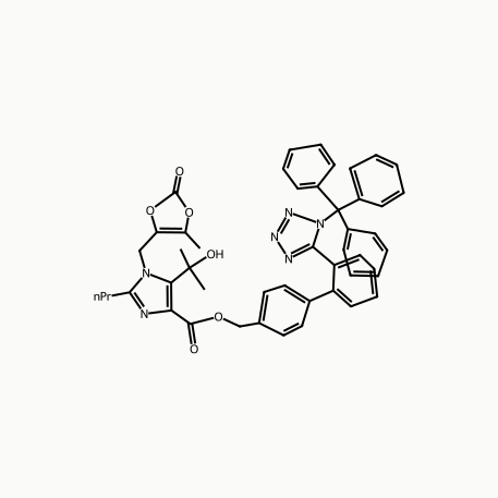 CCCc1nc(C(=O)OCc2ccc(-c3ccccc3-c3nnnn3C(c3ccccc3)(c3ccccc3)c3ccccc3)cc2)c(C(C)(C)O)n1Cc1oc(=O)oc1C